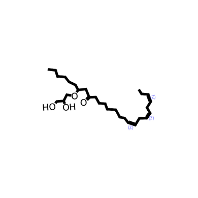 CC/C=C\C/C=C\C/C=C\CCCCCCCC(=O)CC(CCCCCC)OCC(O)CO